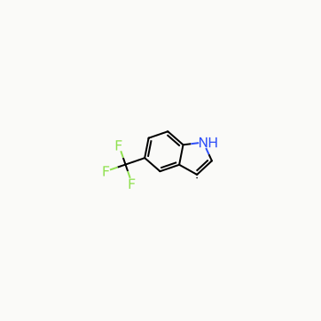 FC(F)(F)c1ccc2[nH]c[c]c2c1